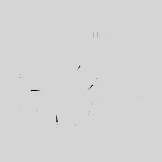 CC(=O)C(O)[C@H]1O[C@@H](Oc2cc(C)ccc2O)[C@@](O)(C(C)=O)[C@](O)(C(C)=O)[C@@]1(O)C(C)=O